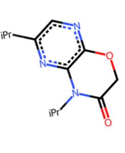 CC(C)c1cnc2c(n1)N(C(C)C)C(=O)CO2